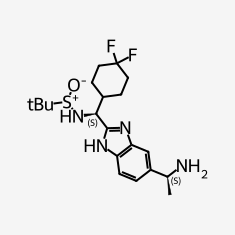 C[C@H](N)c1ccc2[nH]c([C@@H](N[S+]([O-])C(C)(C)C)C3CCC(F)(F)CC3)nc2c1